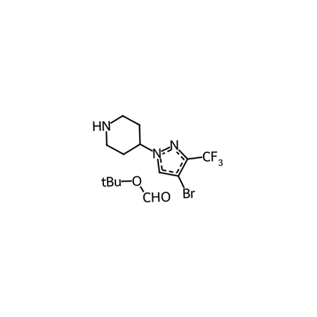 CC(C)(C)OC=O.FC(F)(F)c1nn(C2CCNCC2)cc1Br